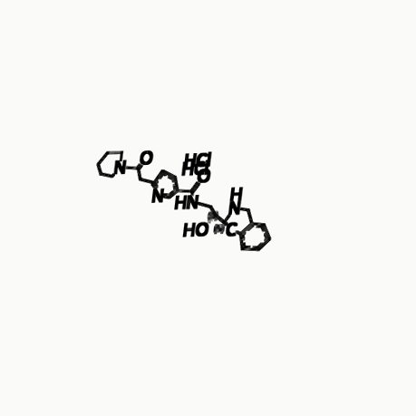 Cl.Cl.O=C(NC[C@@H](O)[C@@H]1Cc2ccccc2CN1)c1ccc(CC(=O)N2CCCCC2)nc1